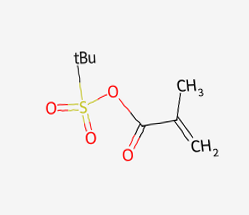 C=C(C)C(=O)OS(=O)(=O)C(C)(C)C